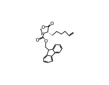 C=CCCCC[C@H]1C(=O)OCN1C(=O)OCC1c2ccccc2-c2ccccc21